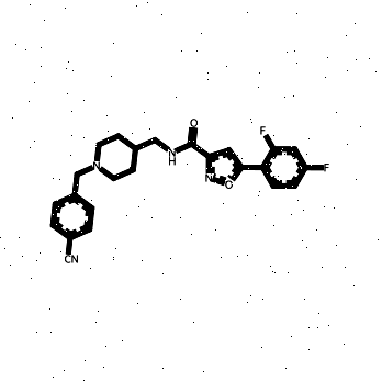 N#Cc1ccc(CN2CCC(CNC(=O)c3cc(-c4ccc(F)cc4F)on3)CC2)cc1